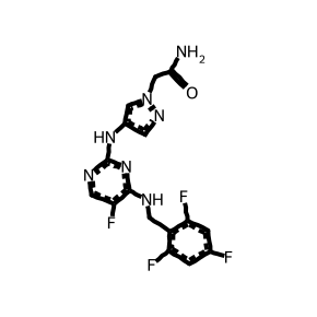 NC(=O)Cn1cc(Nc2ncc(F)c(NCc3c(F)cc(F)cc3F)n2)cn1